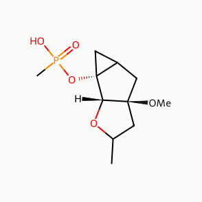 CO[C@@]12CC(C)O[C@@H]1[C@@]1(OP(C)(=O)O)CC1C2